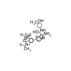 C[C@@H](C1CC1)N1Cc2cc(-c3ccn4nc(N)c(C(O)N[C@H]5CC[C@@](C)(O)CC5)c4n3)cc(S(C)(=O)=O)c2C1=O